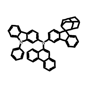 c1ccc(-n2c3ccccc3c3ccc(N(c4ccc5c(c4)-c4ccccc4C54C5CC6CC(C5)CC4C6)c4cc5ccccc5c5ccccc45)cc32)cc1